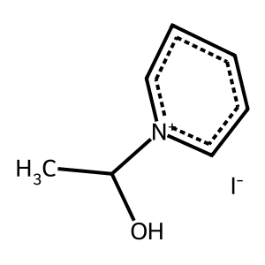 CC(O)[n+]1ccccc1.[I-]